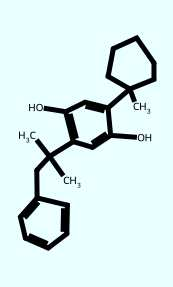 CC(C)(Cc1ccccc1)c1cc(O)c(C2(C)CCCCC2)cc1O